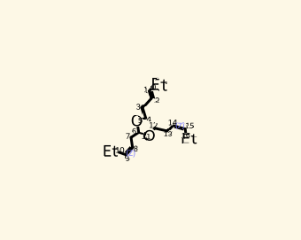 CCC=CCCOC(C/C=C\CC)OCC/C=C\CC